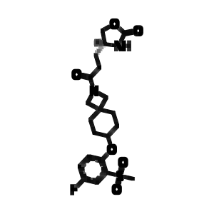 CS(=O)(=O)c1cc(F)ccc1OC1CCC2(CC1)CN(C(=O)CC[C@@H]1COC(=O)N1)C2